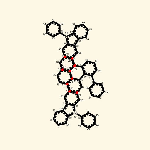 c1ccc(-c2ccccc2-c2c(-c3ccccc3)cccc2N(c2cccc(-c3ccc4c(c3)c3ccccc3n4-c3ccccc3)c2)c2ccc3c(c2)c2ccccc2n3-c2ccccc2)cc1